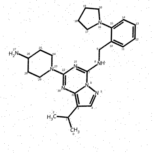 CC(C)c1cnn2c(NCc3ccccc3N3CCCC3)nc(N3CCC(N)CC3)nc12